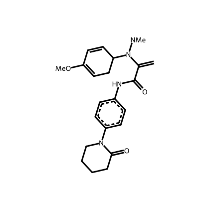 C=C(C(=O)Nc1ccc(N2CCCCC2=O)cc1)N(NC)C1C=CC(OC)=CC1